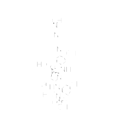 COc1cc(N2CCC(N3CCN(C)CC3)CC2)c(C)cc1Nc1ncc(Br)c(Nc2cc(Cl)ccc2N(C)S(C)(=O)=O)n1